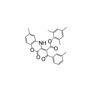 Cc1cccc(C(=O)C(C(=O)Oc2c(C)cc(C)cc2C)=C2Nc3cc(C)ccc3OC2=O)c1